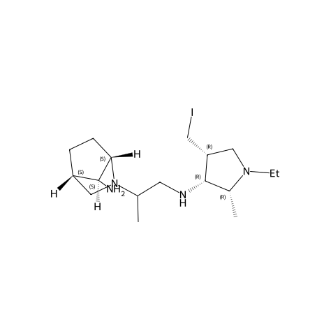 CCN1C[C@@H](CI)[C@@H](NCC(C)N2C[C@@H]3CC[C@H]2[C@H]3N)[C@H]1C